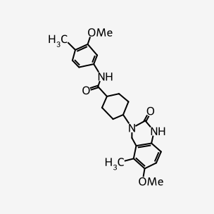 COc1cc(NC(=O)C2CCC(N3Cc4c(ccc(OC)c4C)NC3=O)CC2)ccc1C